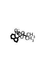 CC(C)C(=O)OC(C)c1cccc2cccc([N+](=O)[O-])c12